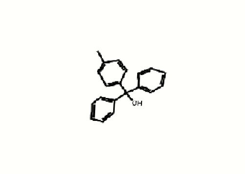 Cc1ccc(C(O)(c2ccccc2)c2ccccc2)cc1